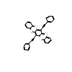 C(#Cc1c2nc3ccccc3nc2c(C#Cc2ccccc2)c2nc3ccccc3nc12)c1ccccc1